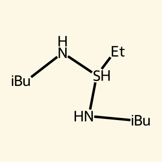 CCC(C)N[SH](CC)NC(C)CC